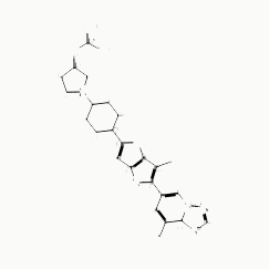 CC1=CC(c2[nH]c3cc(C4CCC(N5CCC(OC(F)F)C5)CC4)sc3c2C(C)C)=CN2N=CNC12